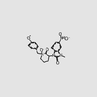 COc1ccc(C[N+]2([O-])CCCC(n3c(=O)n(C)c4cc([N+](=O)[O-])ccc43)C2=O)cc1